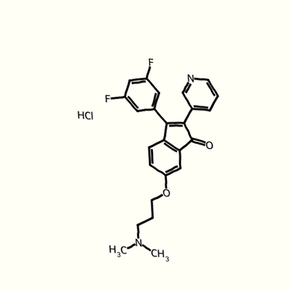 CN(C)CCCOc1ccc2c(c1)C(=O)C(c1cccnc1)=C2c1cc(F)cc(F)c1.Cl